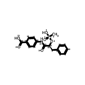 CP(=O)(O)O[C@@H](Cc1ccccc1)C(=O)Nc1ccc(C(=O)O)cc1